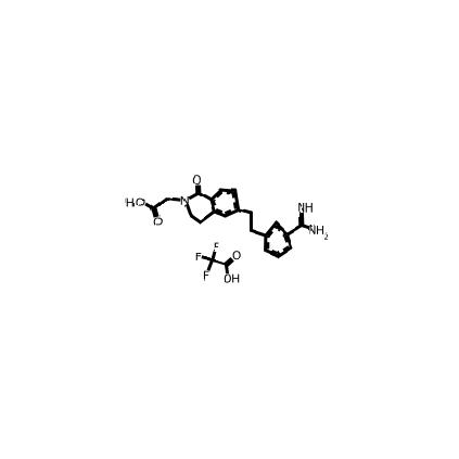 N=C(N)c1cccc(CCc2ccc3c(c2)CCN(CC(=O)O)C3=O)c1.O=C(O)C(F)(F)F